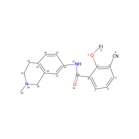 CCOc1c(C#N)cccc1C(=O)Nc1ccc2c(c1)CN(C)CC2